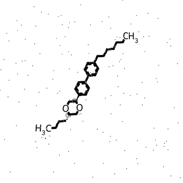 CCCCCCCc1ccc(-c2ccc([C@@H]3CO[C@@H](CCCC)CO3)cc2)cc1